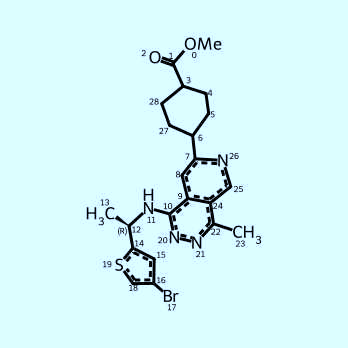 COC(=O)C1CCC(c2cc3c(N[C@H](C)c4cc(Br)cs4)nnc(C)c3cn2)CC1